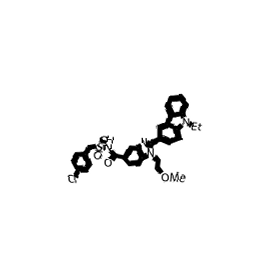 CCn1c2ccccc2c2cc(-c3nc4cc(C(=O)NS(=O)(=O)Cc5ccc(Cl)cc5)ccc4n3CCOC)ccc21